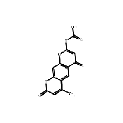 Cc1cc(=O)oc2cc3oc(OC(=O)O)cc(=O)c3cc12